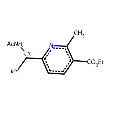 CCOC(=O)c1ccc([C@@H](NC(C)=O)C(C)C)nc1C